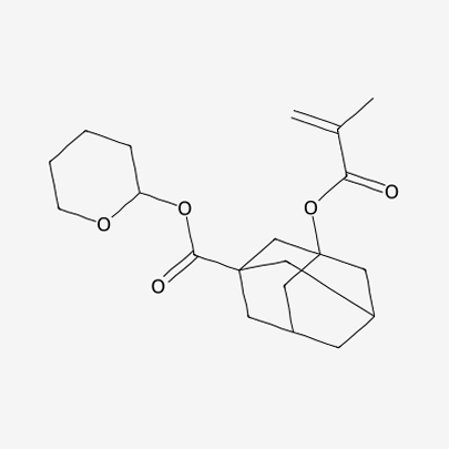 C=C(C)C(=O)OC12CC3CC(C1)CC(C(=O)OC1CCCCO1)(C3)C2